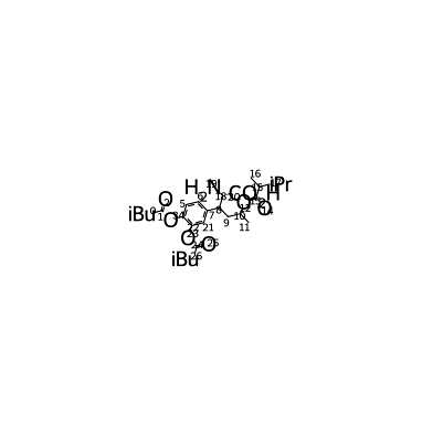 CCC(C)C(=O)Oc1ccc(C(CC(C)OC(=O)C(C)C(C)C)[C@H](N)C(=O)O)cc1OC(=O)C(C)CC